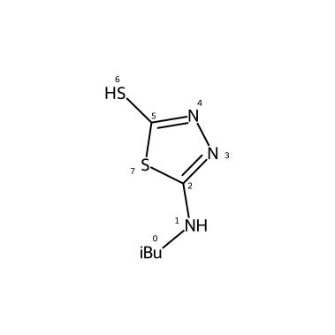 CCC(C)Nc1nnc(S)s1